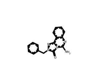 Nc1nc2ccccc2c2nn(Cc3ccccc3)c(=O)n12